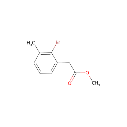 COC(=O)Cc1cccc(C)c1Br